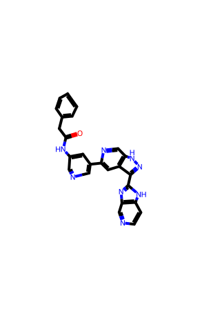 O=C(Cc1ccccc1)Nc1cncc(-c2cc3c(-c4nc5cnccc5[nH]4)n[nH]c3cn2)c1